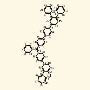 c1ccc(N(c2ccc(-c3ccc(-c4ccc5c6ccccc6c6ccccc6c5c4)cc3)cc2)c2ccc(-c3ccc4oc5ccccc5c4c3)cc2)cc1